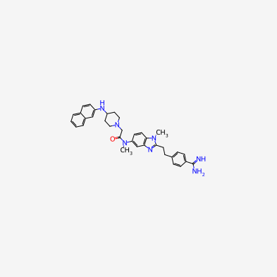 CN(C(=O)CN1CCC(Nc2ccc3ccccc3c2)CC1)c1ccc2c(c1)nc(CCc1ccc(C(=N)N)cc1)n2C